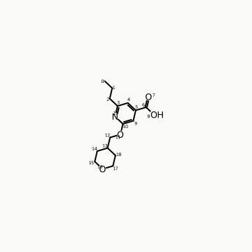 CCCc1cc(C(=O)O)cc(OCC2CCOCC2)n1